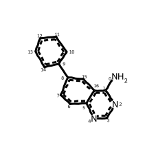 Nc1ncnc2ccc(-c3[c]cccc3)cc12